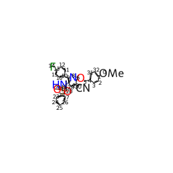 COc1ccc(COc2nc(-c3ccc(F)cc3)c(NS(=O)(=O)c3ccccc3)cc2C#N)cc1